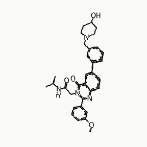 COc1cccc(-c2nc3ccc(-c4cccc(CN5CCC(O)CC5)c4)cc3c(=O)n2CC(=O)NC(C)C)c1